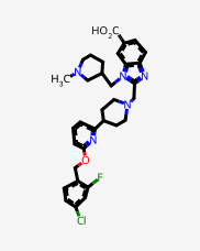 CN1CCCC(Cn2c(CN3CCC(c4cccc(OCc5ccc(Cl)cc5F)n4)CC3)nc3ccc(C(=O)O)cc32)C1